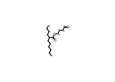 CCCCCCC(CCCC)C(=O)OCCCC=O